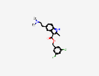 CCN(CC)CCc1ccc2[nH]c(C)c(C(=O)OCc3cc(Cl)cc(Cl)c3)c2c1